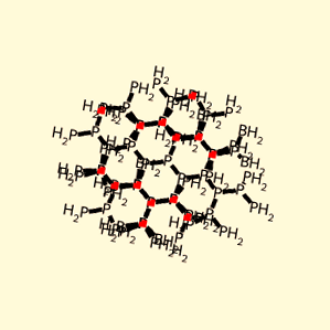 BP(B)P(P(B)B)P(P(P)P)P(P(P(P(B)B)P(B)P)P(P(P)P)P(P)P)P(P(P(P(P)P)P(P)P)P(P(P)P)P(P)P)P(P(P(P(P)P)P(P)P)P(P(P)P)P(P)P)P(P(P(P)P)P(P)P)P(P(P)P)P(P)P